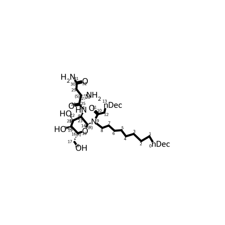 CCCCCCCCCCCCCCCCCCN(C(=O)CCCCCCCCCCC)[C@@H]1O[C@H](CO)[C@@H](O)[C@H](O)[C@H]1NC(=O)[C@@H](N)CC(N)=O